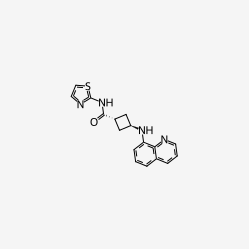 O=C(Nc1nccs1)[C@H]1C[C@H](Nc2cccc3cccnc23)C1